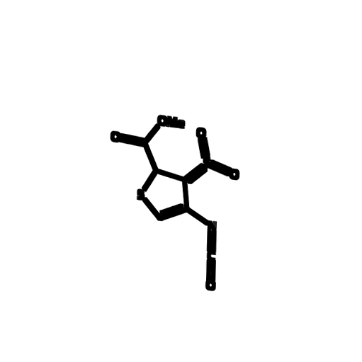 COC(=O)C1SC=C(N=C=O)C1=S(=O)=O